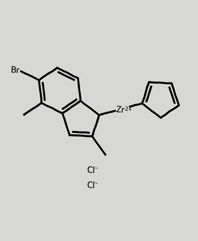 CC1=Cc2c(ccc(Br)c2C)[CH]1[Zr+2][C]1=CC=CC1.[Cl-].[Cl-]